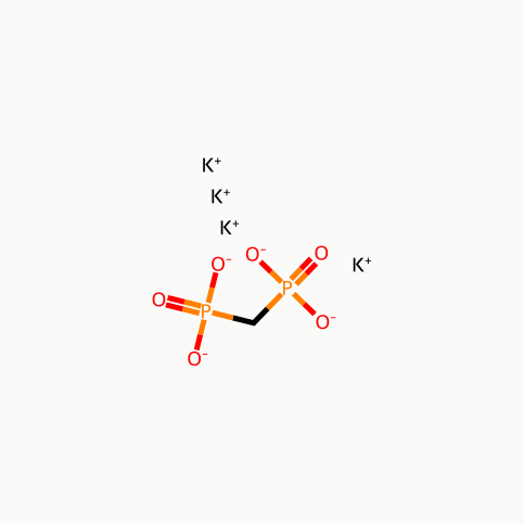 O=P([O-])([O-])CP(=O)([O-])[O-].[K+].[K+].[K+].[K+]